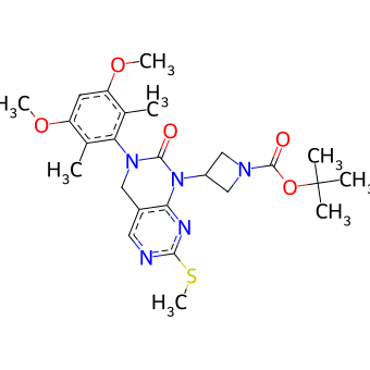 COc1cc(OC)c(C)c(N2Cc3cnc(SC)nc3N(C3CN(C(=O)OC(C)(C)C)C3)C2=O)c1C